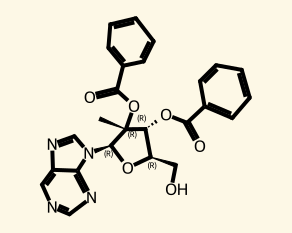 C[C@@]1(OC(=O)c2ccccc2)[C@H](OC(=O)c2ccccc2)[C@@H](CO)O[C@H]1n1cnc2cncnc21